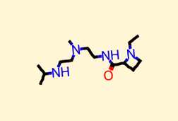 CCN1CCC1C(=O)NCCN(C)CCNC(C)C